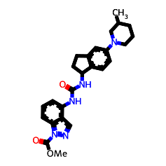 COC(=O)n1ncc2c(NC(=O)NC3CCc4cc(N5CCCC(C)C5)ccc43)cccc21